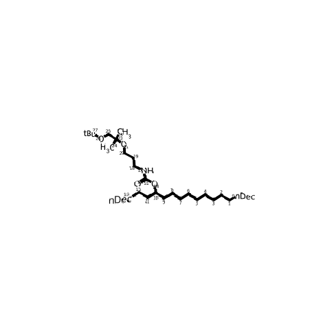 CCCCCCCCCCCCCCCCCCCC(CCCCCCCCCCCC)OC(=O)NCCCOC(C)(C)COC(C)(C)C